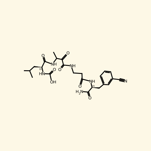 CC(C)C[C@H](NC(=O)O)C(=O)NC(C)C(=O)C(=O)NCCC(=O)N[C@@H](Cc1cccc(C#N)c1)C(N)=O